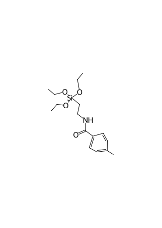 CCO[Si](CCNC(=O)c1ccc(C)cc1)(OCC)OCC